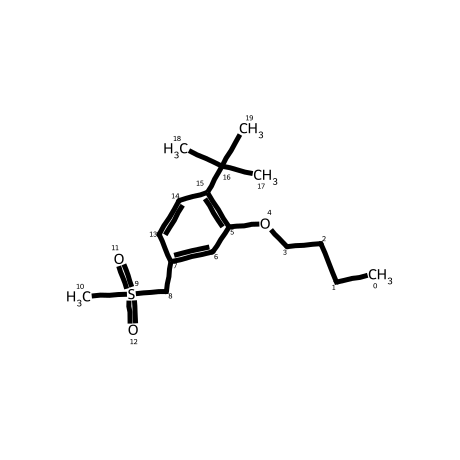 CCCCOc1cc(CS(C)(=O)=O)ccc1C(C)(C)C